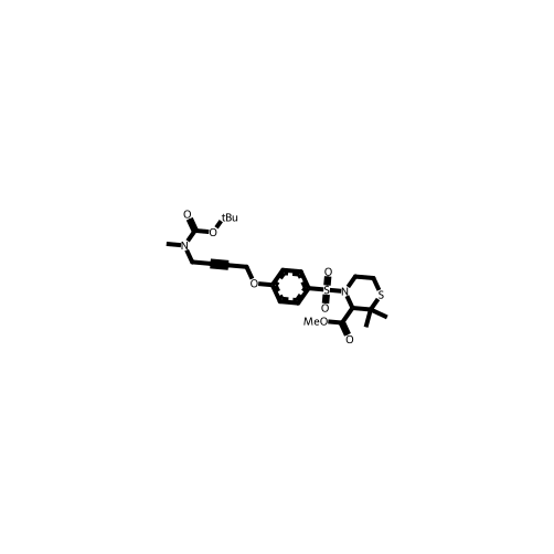 COC(=O)C1N(S(=O)(=O)c2ccc(OCC#CCN(C)C(=O)OC(C)(C)C)cc2)CCSC1(C)C